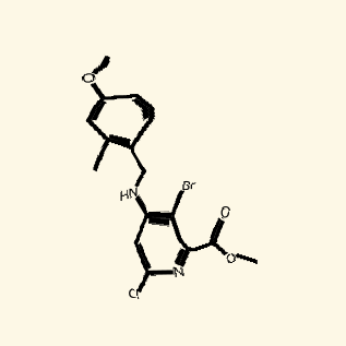 COC(=O)c1nc(Cl)cc(NCc2ccc(OC)cc2C)c1Br